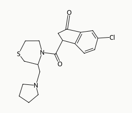 O=C1CC(C(=O)N2CCSCC2CN2CCCC2)c2ccc(Cl)cc21